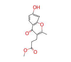 COC(=O)CCc1c(C)oc2cc(O)ccc2c1=O